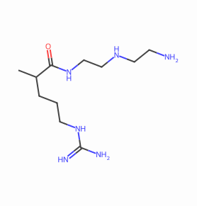 CC(CCCNC(=N)N)C(=O)NCCNCCN